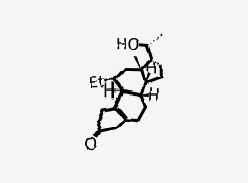 CC[C@H]1C[C@@]2(C)[C@H](CC[C@H]2[C@@H](C)O)[C@@H]2CCC3=C(CCC(=O)C3)[C@@H]12